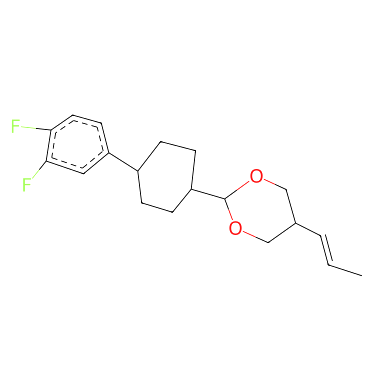 CC=CC1COC(C2CCC(c3ccc(F)c(F)c3)CC2)OC1